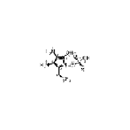 CCc1nn(O)c(N)c1N.O=S(=O)(O)O